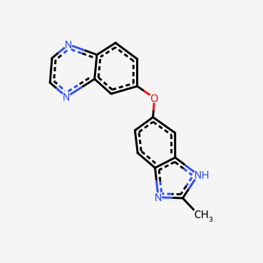 Cc1nc2ccc(Oc3ccc4nccnc4c3)cc2[nH]1